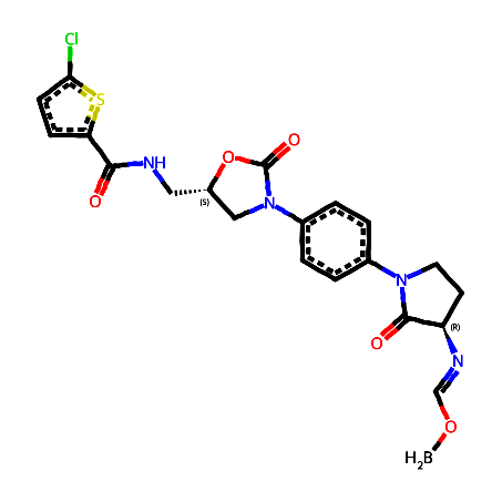 BOC=N[C@@H]1CCN(c2ccc(N3C[C@H](CNC(=O)c4ccc(Cl)s4)OC3=O)cc2)C1=O